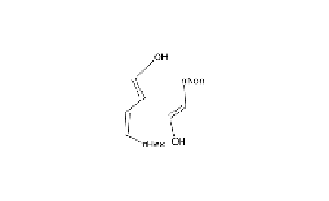 CCCCCC/C=C\C=C\O.CCCCCCCCC/C=C/O